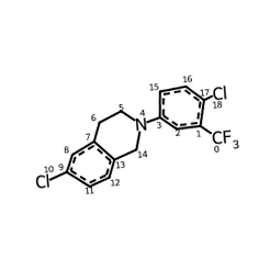 FC(F)(F)c1cc(N2CCc3cc(Cl)ccc3C2)ccc1Cl